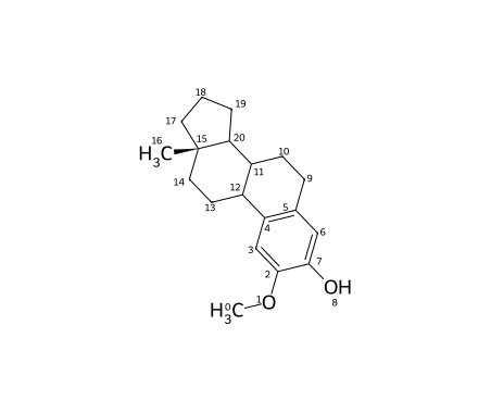 COc1cc2c(cc1O)CCC1C2CC[C@]2(C)CCCC12